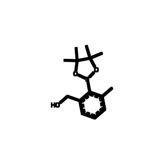 Cc1cccc(CO)c1B1OC(C)(C)C(C)(C)O1